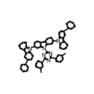 Cc1cccc(-c2nc(-c3cccc(C)c3)nc(-n3c4cc(-n5c6ccccc6c6cc(-c7ccccc7)ccc65)ccc4c4ccc(-n5c6ccccc6c6cc(-c7ccccc7)ccc65)cc43)n2)c1